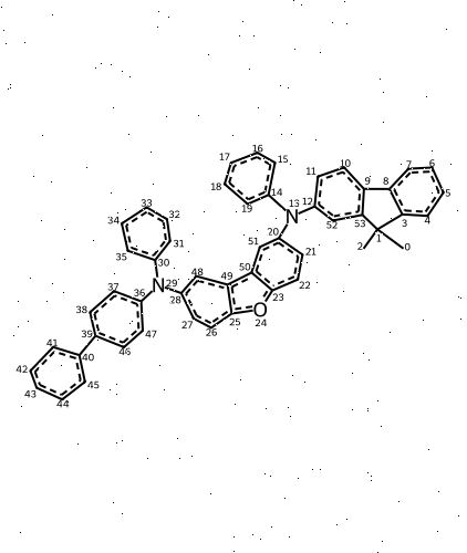 CC1(C)c2ccccc2-c2ccc(N(c3ccccc3)c3ccc4oc5ccc(N(c6ccccc6)c6ccc(-c7ccccc7)cc6)cc5c4c3)cc21